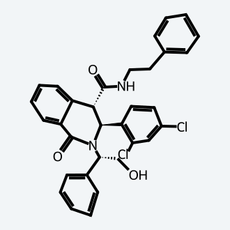 O=C(NCCc1ccccc1)[C@H]1c2ccccc2C(=O)N([C@H](CO)c2ccccc2)[C@@H]1c1ccc(Cl)cc1Cl